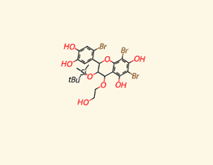 CC(C)(C)[Si](C)(C)OC1C(c2cc(O)c(O)cc2Br)Oc2c(Br)c(O)c(Br)c(O)c2C1OCCO